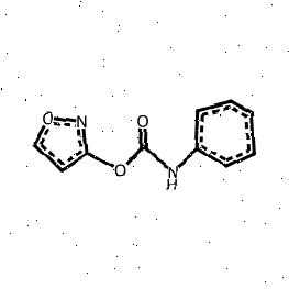 O=C(Nc1ccccc1)Oc1ccon1